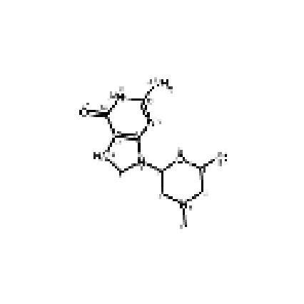 CCC1CN(C)CC(N2CNc3c2nc(N)[nH]c3=O)O1